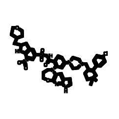 CC1(C)CCC(CN2CCN(c3ccc(C(=O)NS(=O)(=O)c4cc5c(c([N+](=O)[O-])c4)NC(CC4CCOCC4)C5)c(N4CCCOc5nc6[nH]ccc6cc54)c3)CC2)=C(c2ccc(Cl)cc2)C1